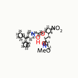 COCc1cc(C=Cc2cc([N+](=O)[O-])ccc2OCC(O)CN2CCC(=C(c3ccccc3)c3ccccc3)CC2)on1